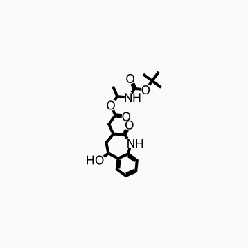 CC(NC(=O)OC(C)(C)C)OC(=O)CC1CC(O)c2ccccc2NC1=O